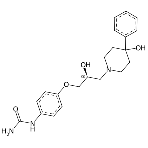 NC(=O)Nc1ccc(OC[C@@H](O)CN2CCC(O)(c3ccccc3)CC2)cc1